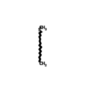 C=CCCCCCCCCCCCCCC[CH]SC